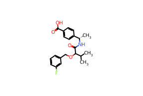 CC(C)C(OCc1cccc(F)c1)C(=O)N[C@@H](C)c1ccc(C(=O)O)cc1